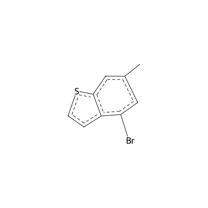 Cc1cc(Br)c2ccsc2c1